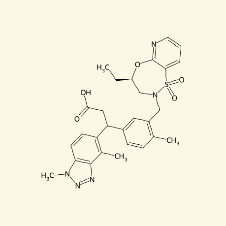 CC[C@@H]1CN(Cc2cc(C(CC(=O)O)c3ccc4c(nnn4C)c3C)ccc2C)S(=O)(=O)c2cccnc2O1